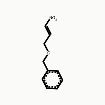 O=[N+]([O-])C=CCOCc1ccccc1